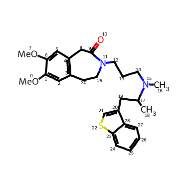 COc1cc2c(cc1OC)CC(=O)N(CCCN(C)C(C)Cc1csc3ccccc13)CC2